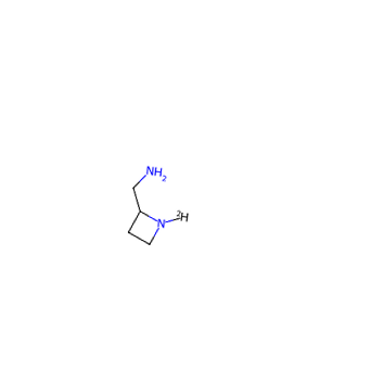 [2H]N1CCC1CN